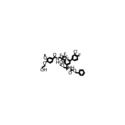 COCC(C)(NC(=O)OCc1ccccc1)c1cc(-c2ccc(F)c(Cl)c2)nc(C(O)(CNC(=O)c2ccc(OCCO)c(OC)c2)C(F)(F)F)c1